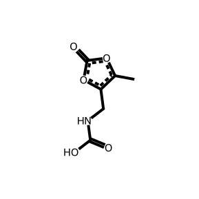 Cc1oc(=O)oc1CNC(=O)O